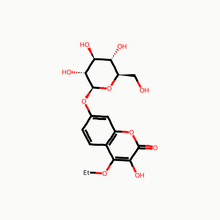 CCOc1c(O)c(=O)oc2cc(O[C@@H]3O[C@H](CO)[C@@H](O)[C@H](O)[C@H]3O)ccc12